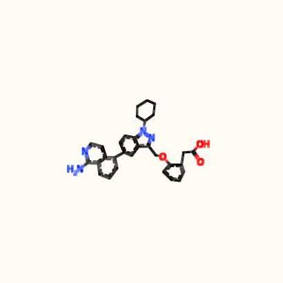 Nc1nccc2c(-c3ccc4c(c3)c(COc3ccccc3CC(=O)O)nn4C3CCCCC3)cccc12